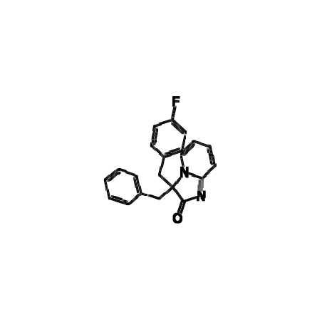 O=C1N=C2C=CC=CN2C1(Cc1ccccc1)Cc1ccc(F)cc1